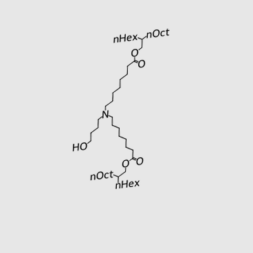 CCCCCCCCC(CCCCCC)COC(=O)CCCCCCCN(CCCCO)CCCCCCCC(=O)OCC(CCCCCC)CCCCCCCC